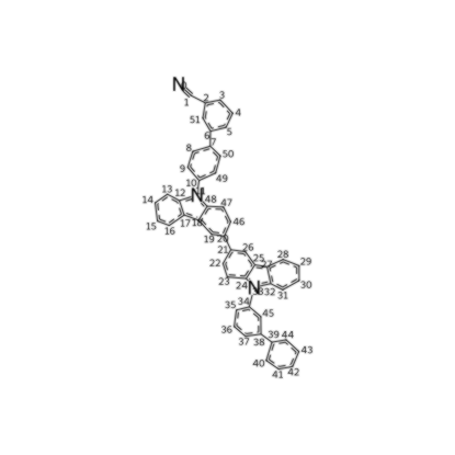 N#Cc1cccc(-c2ccc(-n3c4ccccc4c4cc(-c5ccc6c(c5)c5ccccc5n6-c5cccc(-c6ccccc6)c5)ccc43)cc2)c1